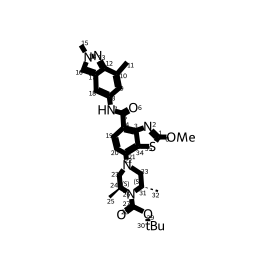 COc1nc2c(C(=O)Nc3cc(C)c4nn(C)cc4c3)ccc(N3C[C@H](C)N(C(=O)OC(C)(C)C)[C@@H](C)C3)c2s1